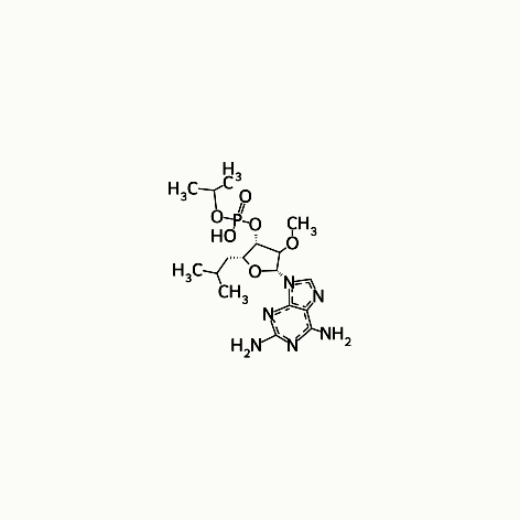 COC1[C@@H](OP(=O)(O)OC(C)C)[C@@H](CC(C)C)O[C@H]1n1cnc2c(N)nc(N)nc21